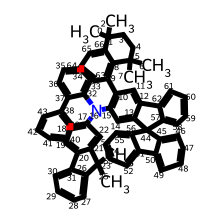 CC1(C)CCC(C)(C)c2c(-c3cc4c(cc3N(c3ccc5c(c3)C(C)(C)c3ccccc3-5)c3ccccc3-c3ccccc3)C3(c5ccccc5-c5ccccc53)c3ccccc3-4)cccc21